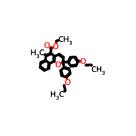 CCCOc1ccc(C2(c3ccc(OCCC)cc3)C=Cc3c(C(=O)OCC)c(C)c4ccccc4c3O2)cc1